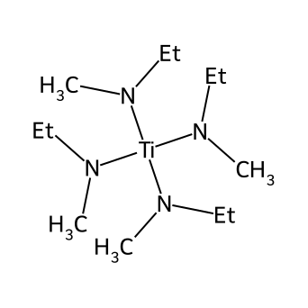 CC[N](C)[Ti]([N](C)CC)([N](C)CC)[N](C)CC